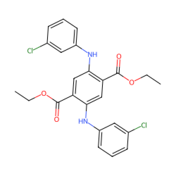 CCOC(=O)c1cc(Nc2cccc(Cl)c2)c(C(=O)OCC)cc1Nc1cccc(Cl)c1